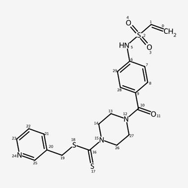 C=CS(=O)(=O)Nc1ccc(C(=O)N2CCN(C(=S)SCc3cccnc3)CC2)cc1